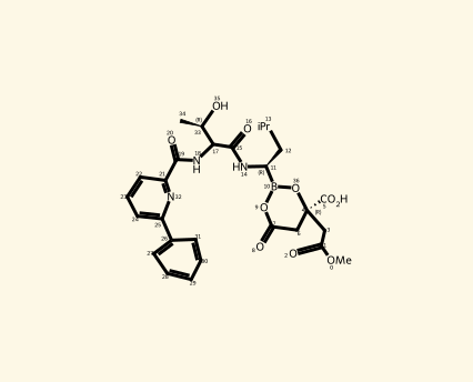 COC(=O)C[C@@]1(C(=O)O)CC(=O)OB([C@H](CC(C)C)NC(=O)C(NC(=O)c2cccc(-c3ccccc3)n2)[C@@H](C)O)O1